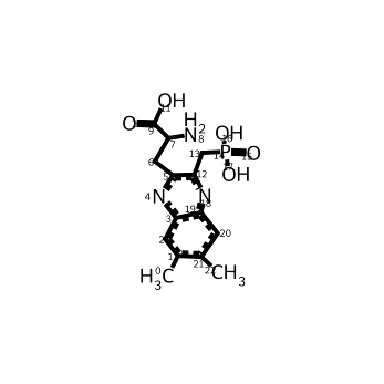 Cc1cc2nc(CC(N)C(=O)O)c(CP(=O)(O)O)nc2cc1C